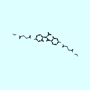 CCOC(=O)CCC(=O)Oc1ccc2c(c1)[nH]c(=O)c1c3ccc(OC(=O)CCC(=O)OCC)cc3oc21